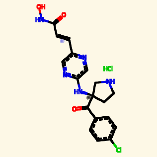 Cl.O=C(/C=C/c1cnc(N[C@]2(C(=O)c3ccc(Cl)cc3)CCNC2)cn1)NO